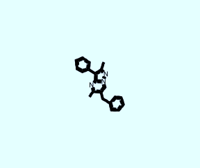 Cc1nc2c(-c3ccccc3)c(C)nn2cc1Cc1ccccc1